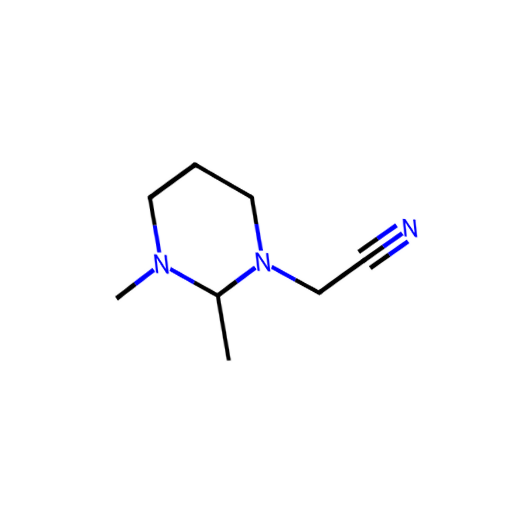 CC1N(C)CCCN1CC#N